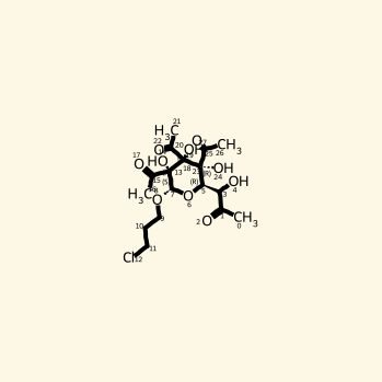 CC(=O)C(O)[C@H]1O[C@H](OCCCCl)[C@@](O)(C(C)=O)[C@](O)(C(C)=O)[C@@]1(O)C(C)=O